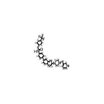 O=C(Cc1ccc(C(F)(F)F)cc1)Nc1ccc(-c2ccc3ncc(N4CCN(Cc5cccnc5)CC4)nc3c2)cc1